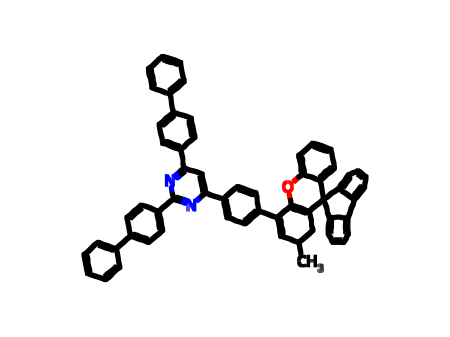 CC1C=C(c2ccc(-c3cc(-c4ccc(-c5ccccc5)cc4)nc(-c4ccc(-c5ccccc5)cc4)n3)cc2)C2=C(C1)C1(c3ccccc3O2)c2ccccc2-c2ccccc21